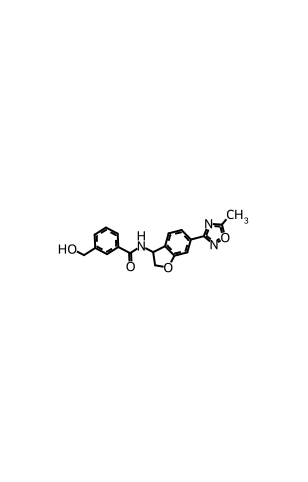 Cc1nc(-c2ccc3c(c2)OCC3NC(=O)c2cccc(CO)c2)no1